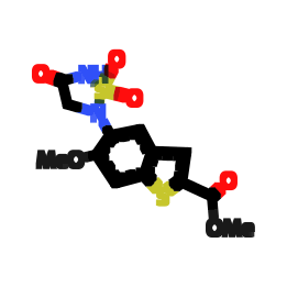 COC(=O)c1cc2cc(N3CC(=O)NS3(=O)=O)c(OC)cc2s1